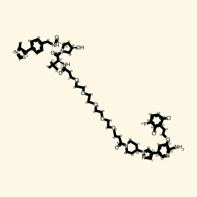 Cc1ncsc1-c1ccc(CNC(=O)[C@@H]2C[C@@H](O)CN2C(=O)[C@@H](NC(=O)CCOCCOCCOCCOCCOCCC(=O)N2CCC(n3cc(-c4cnc(N)c(OCCc5c(Cl)ccc(F)c5Cl)c4)cn3)CC2)C(C)(C)C)cc1